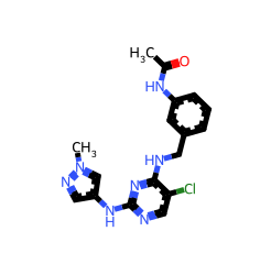 CC(=O)Nc1cccc(CNc2nc(Nc3cnn(C)c3)ncc2Cl)c1